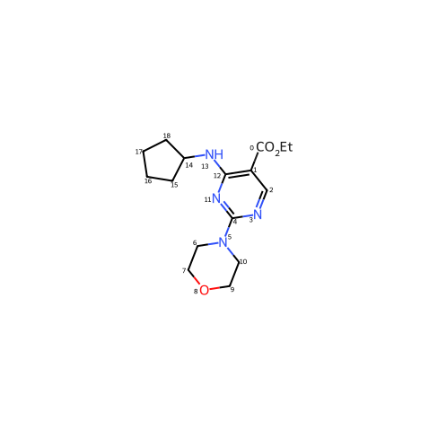 CCOC(=O)c1cnc(N2CCOCC2)nc1NC1CCCC1